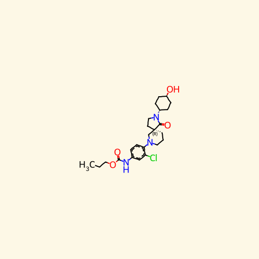 CCCOC(=O)Nc1ccc(N2CCC[C@@]3(CCN([C@H]4CC[C@H](O)CC4)C3=O)C2)c(Cl)c1